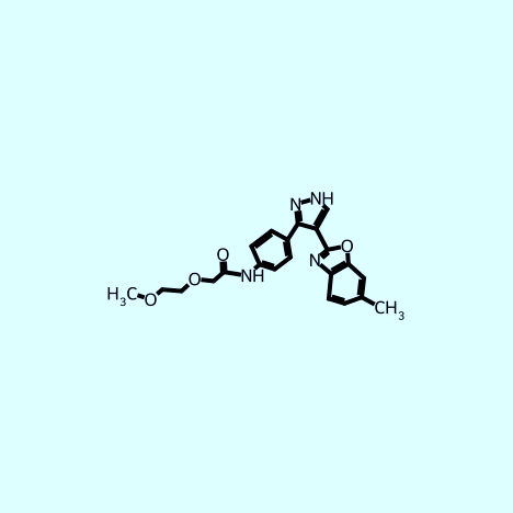 COCCOCC(=O)Nc1ccc(-c2n[nH]cc2-c2nc3ccc(C)cc3o2)cc1